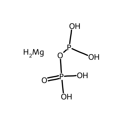 O=P(O)(O)OP(O)O.[MgH2]